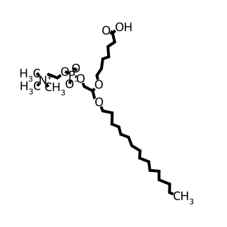 CCCCCCCCCCCCCCCCOCC(COP(=O)([O-])OCC[N+](C)(C)C)OCCCCCCC(=O)O